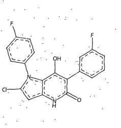 O=c1[nH]c2cc(Cl)n(-c3ccc(F)cc3)c2c(O)c1-c1cccc(F)c1